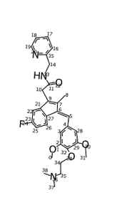 COc1cc(/C=C2/C(C)=C(CC(=O)NCc3ccccn3)c3cc(F)ccc32)cc(OC)c1OCCN(C)C